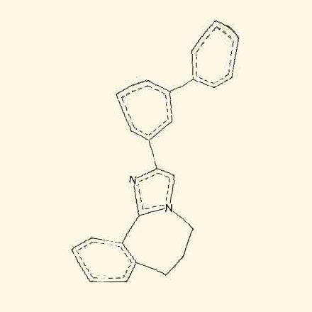 c1ccc(-c2cccc(-c3cn4c(n3)-c3ccccc3CCC4)c2)cc1